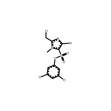 CC(C)c1nc(CCl)n(C)c1S(=O)(=O)Oc1cc(Cl)cc(Cl)c1